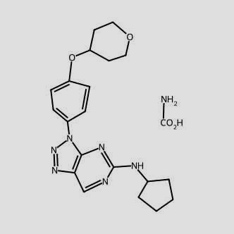 NC(=O)O.c1cc(-n2nnc3cnc(NC4CCCC4)nc32)ccc1OC1CCOCC1